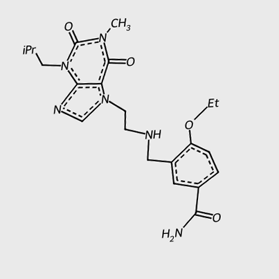 CCOc1ccc(C(N)=O)cc1CNCCn1cnc2c1c(=O)n(C)c(=O)n2CC(C)C